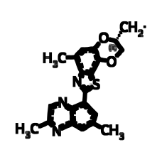 [CH2][C@@H]1COc2c(cc(C)c3nc(-c4cc(C)cc5nc(C)cnc45)sc23)O1